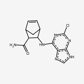 NC(=O)C1C2C=CC(C2)C1Nc1nc(Cl)nc2[nH]cnc12